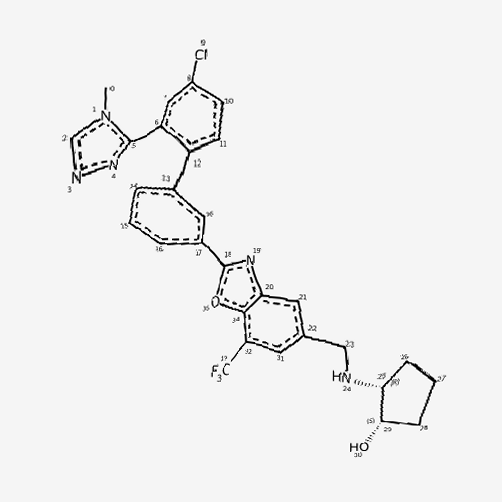 Cn1cnnc1-c1cc(Cl)ccc1-c1cccc(-c2nc3cc(CN[C@@H]4CCC[C@@H]4O)cc(C(F)(F)F)c3o2)c1